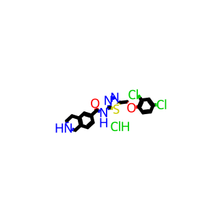 Cl.O=C(Nc1nnc(COc2ccc(Cl)cc2Cl)s1)c1ccc2c(c1)CCNC2